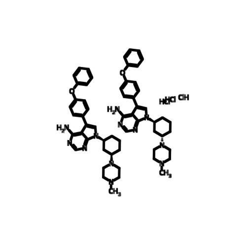 CN1CCN([C@@H]2CCC[C@H](n3cc(-c4ccc(Oc5ccccc5)cc4)c4c(N)ncnc43)C2)CC1.CN1CCN([C@H]2CCC[C@H](n3cc(-c4ccc(Oc5ccccc5)cc4)c4c(N)ncnc43)C2)CC1.Cl.Cl.Cl